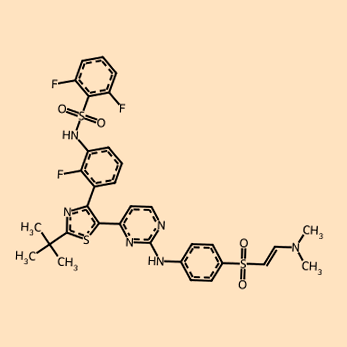 CN(C)/C=C/S(=O)(=O)c1ccc(Nc2nccc(-c3sc(C(C)(C)C)nc3-c3cccc(NS(=O)(=O)c4c(F)cccc4F)c3F)n2)cc1